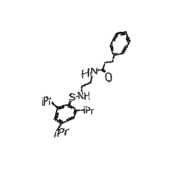 CC(C)c1cc(C(C)C)c(SNCCNC(=O)CCc2ccccc2)c(C(C)C)c1